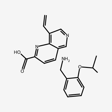 C=Cc1cncc2ccc(C(=O)O)nc12.CC(C)Oc1ccccc1CN